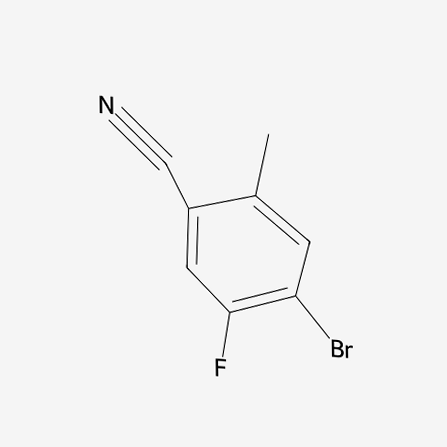 Cc1cc(Br)c(F)cc1C#N